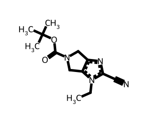 CCn1c(C#N)nc2c1CN(C(=O)OC(C)(C)C)C2